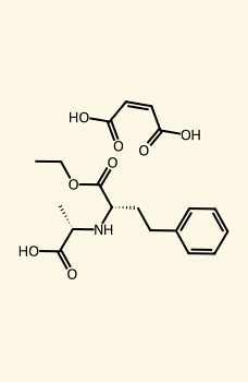 CCOC(=O)[C@H](CCc1ccccc1)N[C@@H](C)C(=O)O.O=C(O)/C=C\C(=O)O